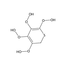 OOC1=C(OO)C(OO)=C(OO)SC1